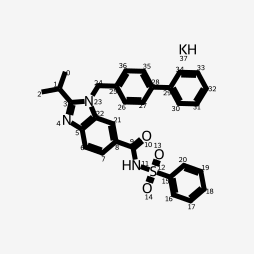 CC(C)c1nc2ccc(C(=O)NS(=O)(=O)c3ccccc3)cc2n1Cc1ccc(-c2ccccc2)cc1.[KH]